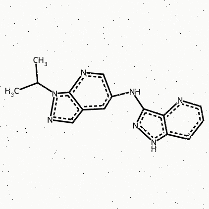 CC(C)n1ncc2cc(Nc3n[nH]c4cccnc34)cnc21